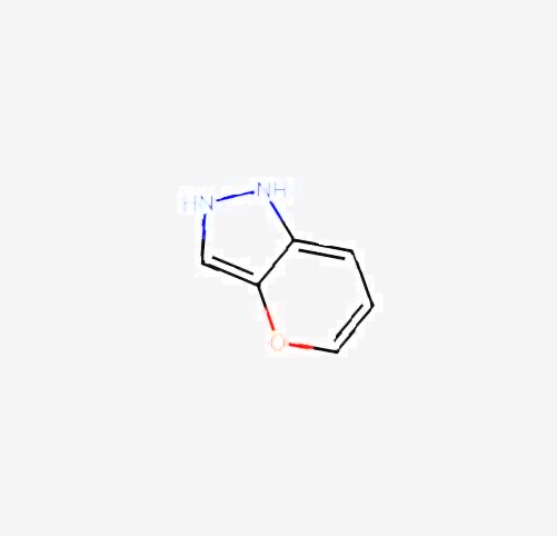 C1=COC2=CNNC2=C1